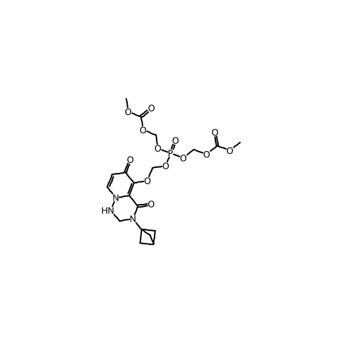 COC(=O)OCOP(=O)(OCOC(=O)OC)OCOc1c2n(ccc1=O)NCN(C13CC(C1)C3)C2=O